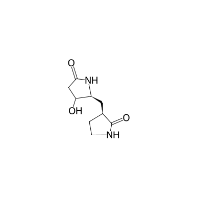 O=C1CC(O)[C@H](C[C@@H]2CCNC2=O)N1